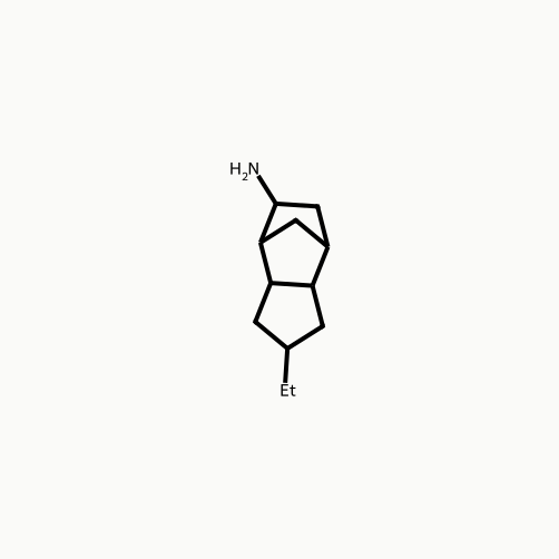 CCC1CC2C3CC(N)C(C3)C2C1